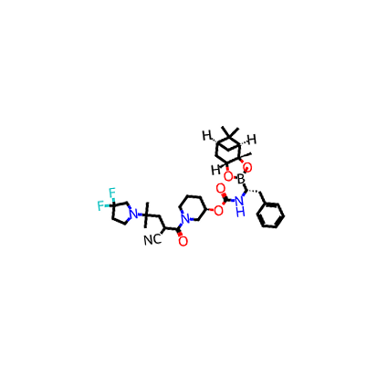 CC1(C)[C@@H]2C[C@H]3OB([C@H](Cc4ccccc4)NC(=O)O[C@@H]4CCCN(C(=O)C(C#N)CC(C)(C)N5CCC(F)(F)C5)C4)O[C@@]3(C)[C@H]1C2